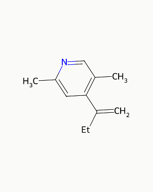 C=C(CC)c1cc(C)ncc1C